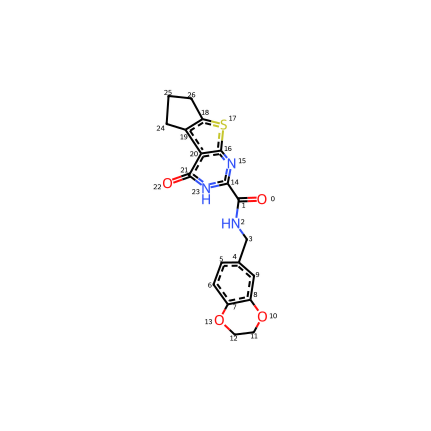 O=C(NCc1ccc2c(c1)OCCO2)c1nc2sc3c(c2c(=O)[nH]1)CCC3